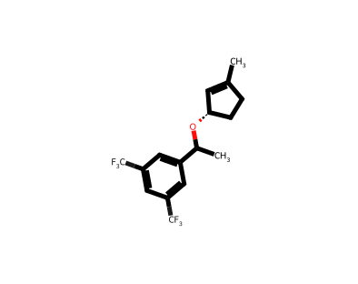 CC1=C[C@@H](OC(C)c2cc(C(F)(F)F)cc(C(F)(F)F)c2)CC1